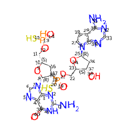 Nc1nc2c(ncn2[C@@H]2O[C@H](CO[PH](=O)S)C[C@H]2P(=O)(S)OCC2O[C@@H](n3ccc4c(N)ncnc43)C[C@@H]2O)c(=O)[nH]1